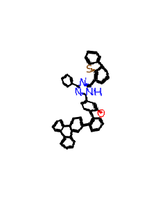 c1ccc(C2=NC(c3ccc4c(c3)oc3cccc(-c5ccc6c7ccccc7c7ccccc7c6c5)c34)NC(c3cccc4c3sc3ccccc34)=N2)cc1